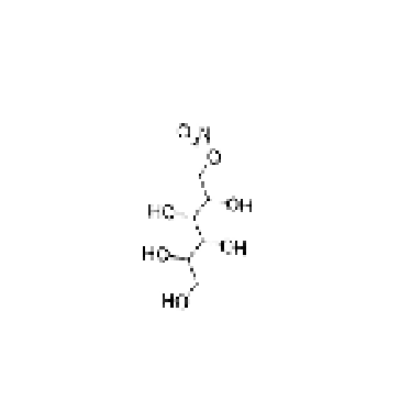 O=[N+]([O-])OC[C@H](O)[C@@H](O)[C@H](O)[C@H](O)CO